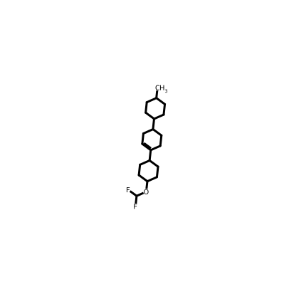 CC1CCC(C2CC=C(C3CCC(OC(F)F)CC3)CC2)CC1